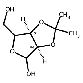 CC1(C)O[C@@H]2C(CO)OC(O)[C@@H]2O1